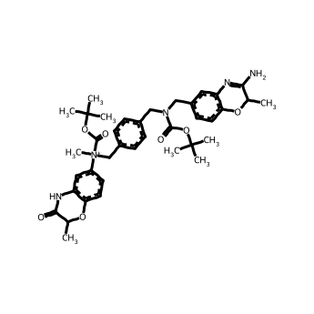 CC1Oc2ccc([N+](C)(Cc3ccc(CN(Cc4ccc5c(c4)N=C(N)C(C)O5)C(=O)OC(C)(C)C)cc3)C(=O)OC(C)(C)C)cc2NC1=O